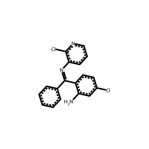 Nc1cc(Cl)ccc1/C(=N\c1cccnc1Cl)c1ccccc1